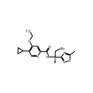 Cc1nc([C@@](C)(CC(C)(C)C)NC(=O)c2cc(OCC(F)(F)F)c(C3CC3)cn2)no1